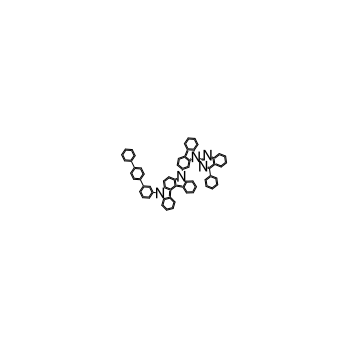 c1ccc(-c2ccc(-c3cccc(-n4c5ccccc5c5c6c7ccccc7n(-c7ccc8c9ccccc9n(-c9nc(-c%10ccccc%10)c%10ccccc%10n9)c8c7)c6ccc54)c3)cc2)cc1